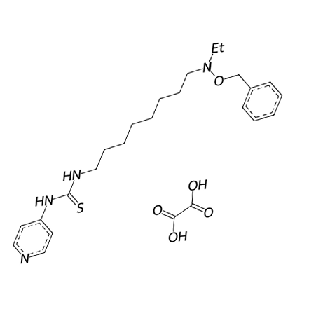 CCN(CCCCCCCCNC(=S)Nc1ccncc1)OCc1ccccc1.O=C(O)C(=O)O